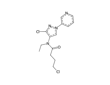 CCN(C(=O)CCCCl)c1cn(-c2cccnc2)nc1Cl